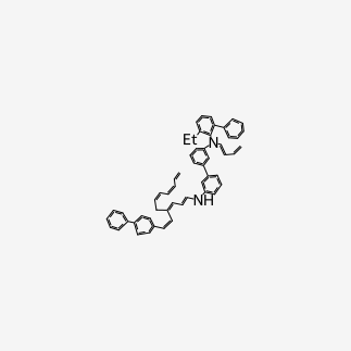 C=C/C=C\C=C/CC(/C=C\c1ccc(-c2ccccc2)cc1)=C/C=C/Nc1cccc(-c2cccc(N(/C=C/C=C)c3c(CC)cccc3-c3ccccc3)c2)c1